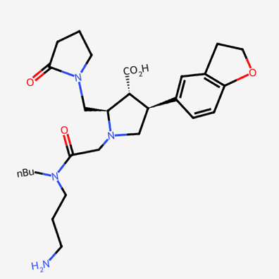 CCCCN(CCCN)C(=O)CN1C[C@H](c2ccc3c(c2)CCO3)[C@@H](C(=O)O)[C@@H]1CN1CCCC1=O